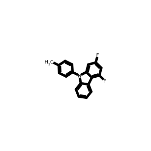 Cc1ccc(-n2c3ccccc3c3c(F)cc(F)cc32)cc1